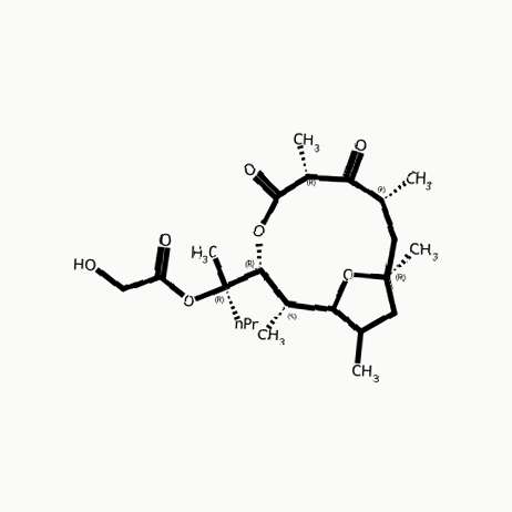 CCC[C@@](C)(OC(=O)CO)[C@@H]1OC(=O)[C@H](C)C(=O)[C@H](C)C[C@@]2(C)CC(C)C(O2)[C@@H]1C